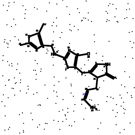 C=C1NC=C(Cc2sc(NCc3cc(C)sc3C)nc2Cl)C1C/C=C\N